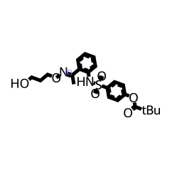 C/C(=N\OCCCO)c1ccccc1NS(=O)(=O)c1ccc(OC(=O)C(C)(C)C)cc1